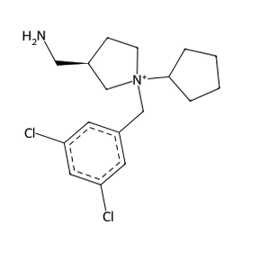 NC[C@H]1CC[N+](Cc2cc(Cl)cc(Cl)c2)(C2CCCC2)C1